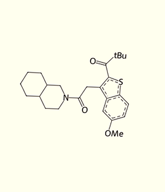 COc1ccc2sc(C(=O)C(C)(C)C)c(CC(=O)N3CCC4CCCCC4C3)c2c1